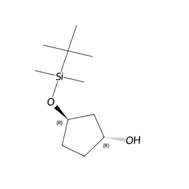 CC(C)(C)[Si](C)(C)O[C@@H]1CC[C@@H](O)C1